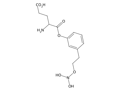 NC(CCC(=O)O)C(=O)Oc1cccc(CCON(O)O)c1